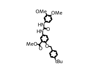 COC(=O)c1cc(NC(=O)Nc2ccc(OC)c(OC)c2)ccc1OCc1ccc(C(C)(C)C)cc1